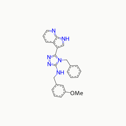 COc1cccc(CNc2nnc(-c3c[nH]c4ncccc34)n2Cc2ccccc2)c1